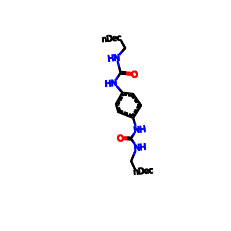 CCCCCCCCCCCNC(=O)Nc1ccc(NC(=O)NCCCCCCCCCCC)cc1